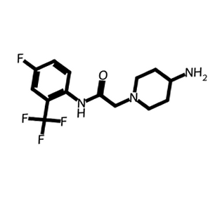 NC1CCN(CC(=O)Nc2ccc(F)cc2C(F)(F)F)CC1